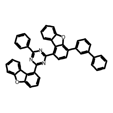 c1ccc(-c2cccc(-c3ccc(-c4nc(-c5ccccc5)nc(-c5cccc6oc7ccccc7c56)n4)c4c3oc3ccccc34)c2)cc1